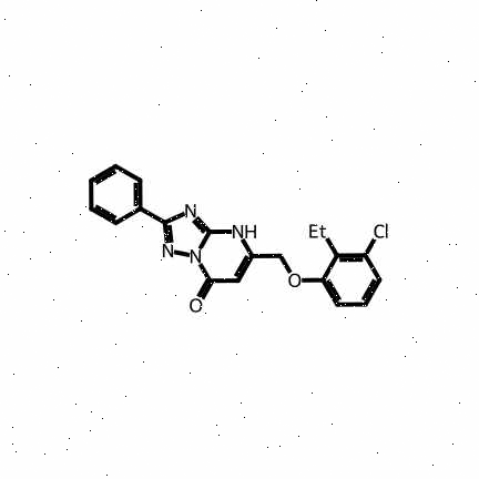 CCc1c(Cl)cccc1OCc1cc(=O)n2nc(-c3ccccc3)nc2[nH]1